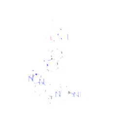 CCC(C)(C)NC(=O)c1ccc2ccc(-c3nnc4ccc([C@H](C)N5CC[C@@H](N)C5)cn34)nc2c1